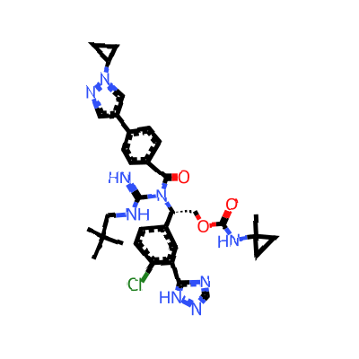 CC(C)(C)CNC(=N)N(C(=O)c1ccc(-c2cnn(C3CC3)c2)cc1)[C@H](COC(=O)NC1(C)CC1)c1ccc(Cl)c(-c2ncn[nH]2)c1